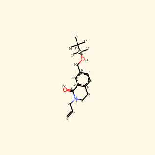 C=CCN1CCc2ccc(CO[Si](C)(C)C(C)(C)C)cc2C1=O